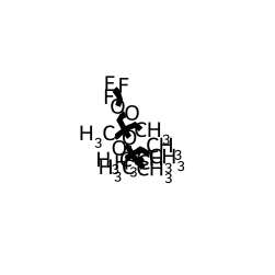 CCC(CC)(CC(=O)OCC(F)(F)F)OC(=O)C(C)(CC(C)(C)C)C(C)(C)C